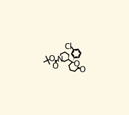 CC(C)(C)OC(=O)N1CCC[C@@H]([C@]2(c3cccc(Cl)c3)CCCC(=O)O2)C1